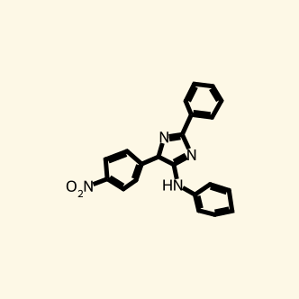 O=[N+]([O-])c1ccc(C2N=C(c3ccccc3)N=C2Nc2ccccc2)cc1